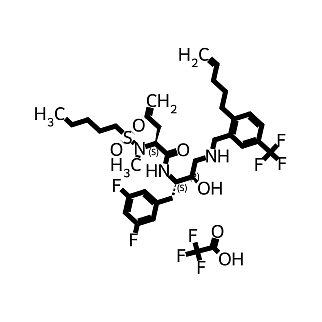 C=CCCCc1ccc(C(F)(F)F)cc1CNC[C@@H](O)[C@H](Cc1cc(F)cc(F)c1)NC(=O)[C@H](CC=C)N(C)S(=O)(=O)CCCCC.O=C(O)C(F)(F)F